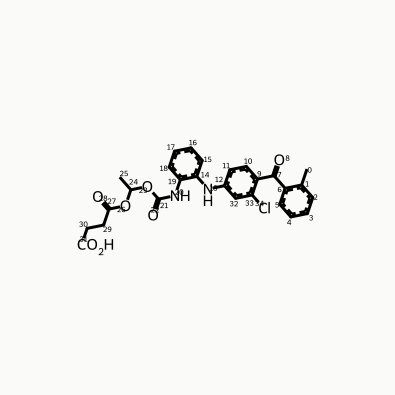 Cc1ccccc1C(=O)c1ccc(Nc2ccccc2NC(=O)OC(C)OC(=O)CCC(=O)O)cc1Cl